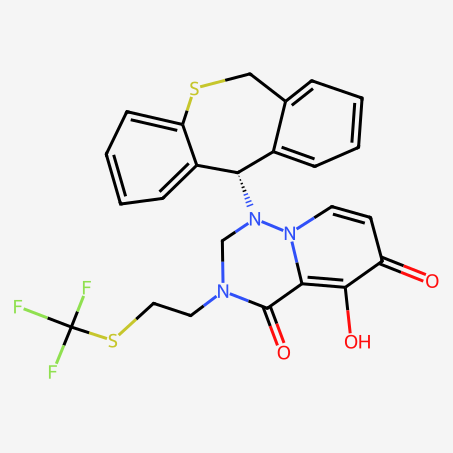 O=C1c2c(O)c(=O)ccn2N([C@H]2c3ccccc3CSc3ccccc32)CN1CCSC(F)(F)F